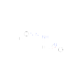 Cc1cccc(N2CCN(CCNC(=O)CCCc3nc(-c4ccccc4C)oc3C)CC2)c1